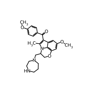 COc1ccc(C(=O)c2c(C)n3c4c(cc(OC)cc24)OCC3CN2CCCNCC2)cc1